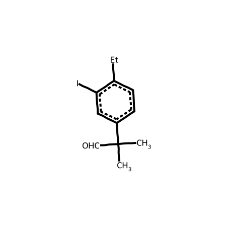 CCc1ccc(C(C)(C)C=O)cc1I